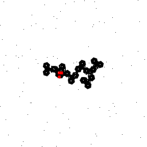 c1cc(-n2c3ccccc3c3ccccc32)cc(-n2c3ccc(-n4c5ccccc5c5ccccc54)cc3c3cc(-n4c5ccccc5c5ccc(-c6ccc7c8ccccc8n(-c8ccc9c(c8)c8ccccc8n9-c8ccccc8-n8c9ccccc9c9cc(-n%10c%11ccccc%11c%11ccccc%11%10)ccc98)c7c6)cc54)ccc32)c1